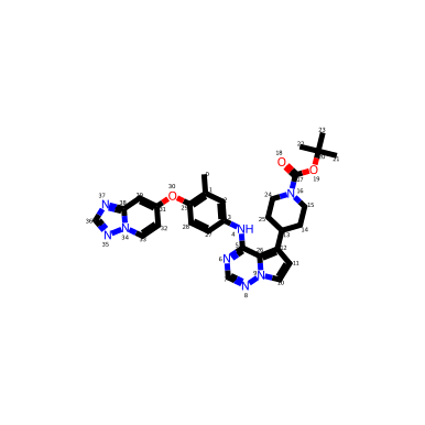 Cc1cc(Nc2ncnn3ccc(C4CCN(C(=O)OC(C)(C)C)CC4)c23)ccc1Oc1ccn2ncnc2c1